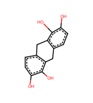 Oc1ccc2c(c1O)Cc1ccc(O)c(O)c1C2